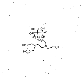 CC(O)(P(=O)(O)O)P(=O)(O)O.O=C(O)CN(CCN(CC(=O)O)CC(=O)O)CC(=O)O